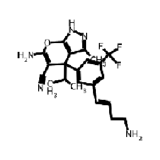 Cc1n[nH]c2c1C(c1cc(C=CCCN)cc(C(F)(F)F)c1)(C(C)C)C(C#N)=C(N)O2